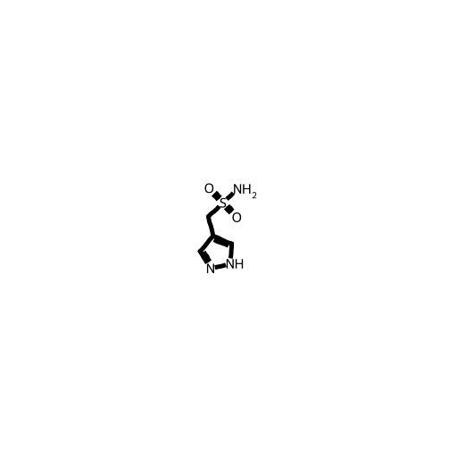 NS(=O)(=O)Cc1cn[nH]c1